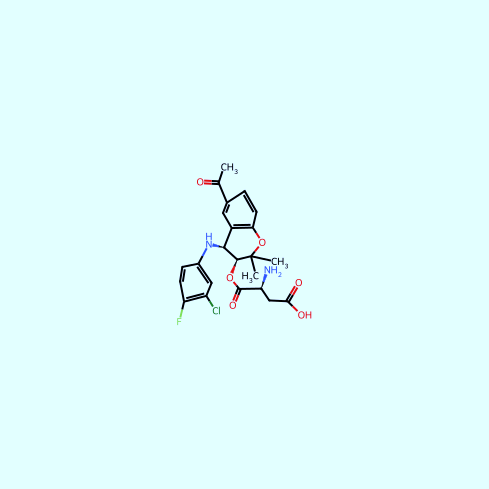 CC(=O)c1ccc2c(c1)[C@H](Nc1ccc(F)c(Cl)c1)[C@H](OC(=O)[C@@H](N)CC(=O)O)C(C)(C)O2